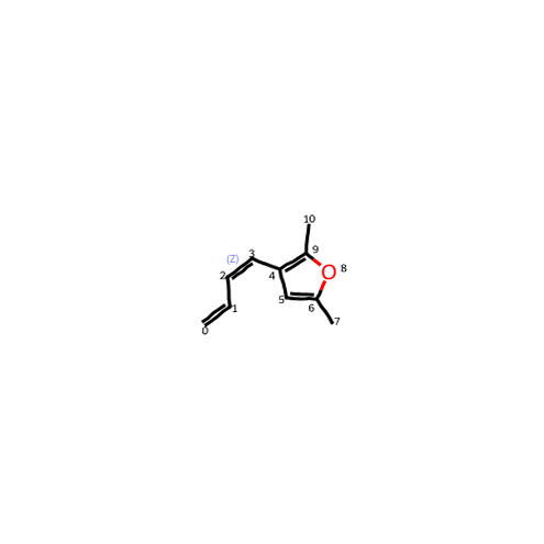 C=C/C=C\c1cc(C)oc1C